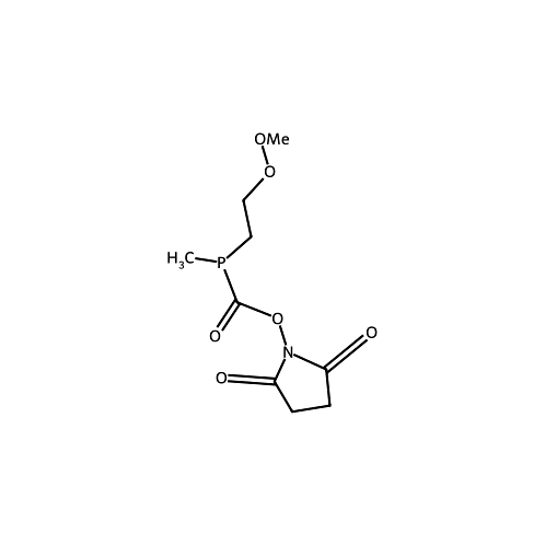 COOCCP(C)C(=O)ON1C(=O)CCC1=O